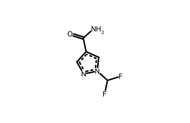 NC(=O)c1cnn(C(F)F)c1